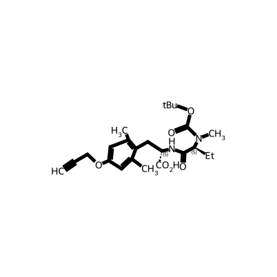 C#CCOc1cc(C)c(C[C@H](NC(=O)[C@H](CC)N(C)C(=O)OC(C)(C)C)C(=O)O)c(C)c1